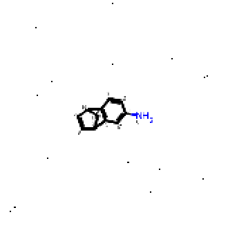 Nc1ccc2c(c1)C1C=CC2C1